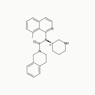 Cc1cccc2ccnc(N(C(=O)N3CCc4ccccc4C3)[C@@H]3CCCNC3)c12